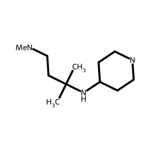 CNCCC(C)(C)NC1CC[N]CC1